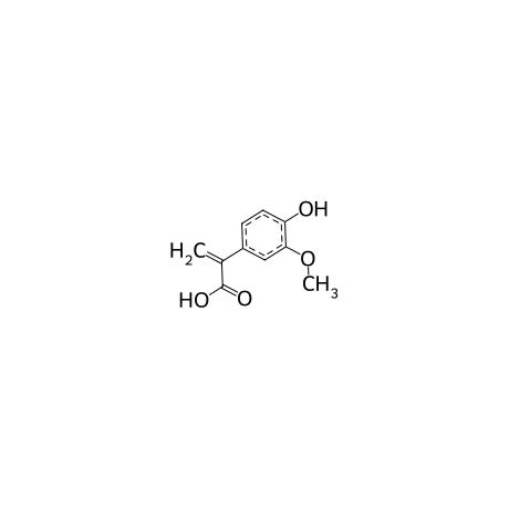 C=C(C(=O)O)c1ccc(O)c(OC)c1